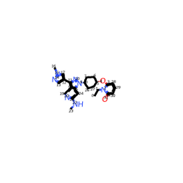 CCn1c(O[C@H]2CC[C@@H](n3nc(-c4cnn(C)c4)c4cnc(NC)cc43)CC2)cccc1=O